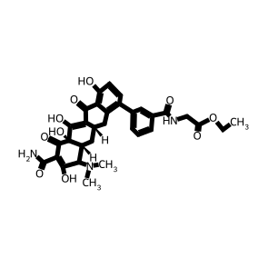 CCOC(=O)CNC(=O)c1cccc(-c2ccc(O)c3c2C[C@@H]2C[C@@H]4C(N(C)C)C(O)=C(C(N)=O)C(=O)[C@]4(O)C(O)=C2C3=O)c1